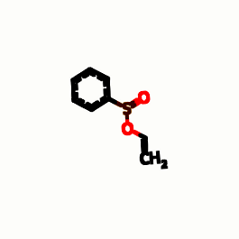 C=COS(=O)c1ccccc1